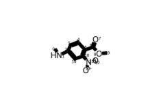 CNc1ccc(C(=O)OC)c([N+](=O)[O-])c1